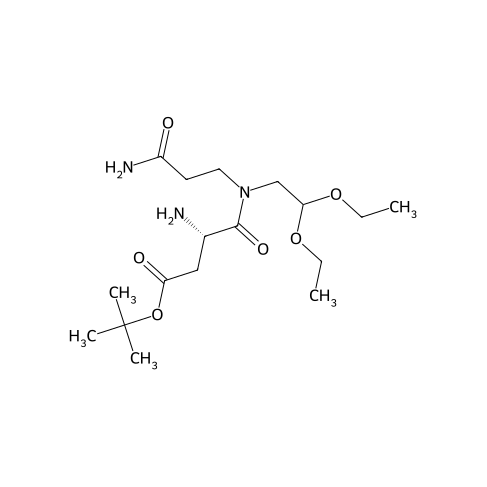 CCOC(CN(CCC(N)=O)C(=O)[C@@H](N)CC(=O)OC(C)(C)C)OCC